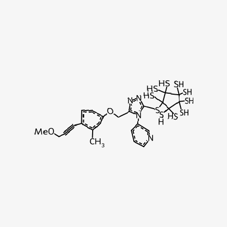 COCC#Cc1ccc(OCc2nnc(SC3(S)C(S)(S)C(S)(S)C(S)(S)C3(S)S)n2-c2cccnc2)cc1C